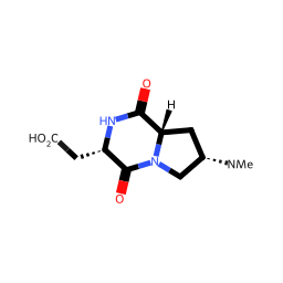 CN[C@H]1C[C@H]2C(=O)N[C@@H](CC(=O)O)C(=O)N2C1